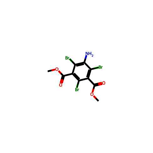 COC(=O)c1c(Br)c(N)c(Br)c(C(=O)OC)c1Br